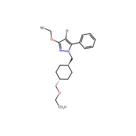 N#CCOc1nn(C[C@H]2CC[C@H](COCC(=O)O)CC2)c(-c2ccccc2)c1Br